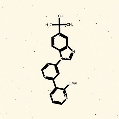 COc1ncccc1-c1cc(-n2cnc3cc(C(C)(C)O)ccc32)ccn1